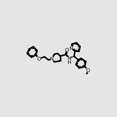 COc1ccc([C@@H](NC(=O)C2CCN(CCOc3ccccc3)CC2)c2ccccn2)cc1